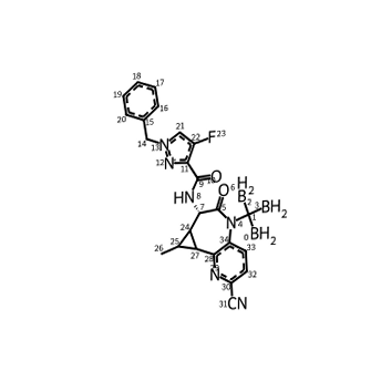 BC(B)(B)N1C(=O)[C@@H](NC(=O)c2nn(Cc3ccccc3)cc2F)C2C(C)C2c2nc(C#N)ccc21